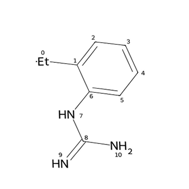 C[CH]c1ccccc1NC(=N)N